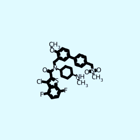 CN[C@H]1CC[C@@H](N(Cc2cc(-c3ccc(CS(C)(=O)=O)cc3)ccc2OC)C(=O)c2sc3c(F)ccc(F)c3c2Cl)CC1